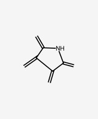 C=c1[nH]c(=C)c(=C)c1=C